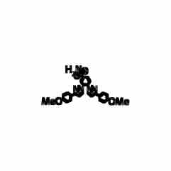 COc1ccc(-c2ccn(-c3ccc(S(N)(=O)=O)cc3-n3ccc(-c4ccc(OC)cc4)n3)n2)cc1